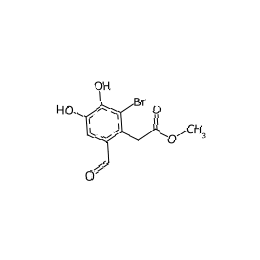 COC(=O)Cc1c(C=O)cc(O)c(O)c1Br